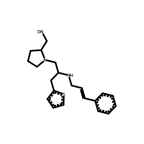 O=NCC1CCCN1CC(Cc1cccs1)NC/C=C/c1ccccc1